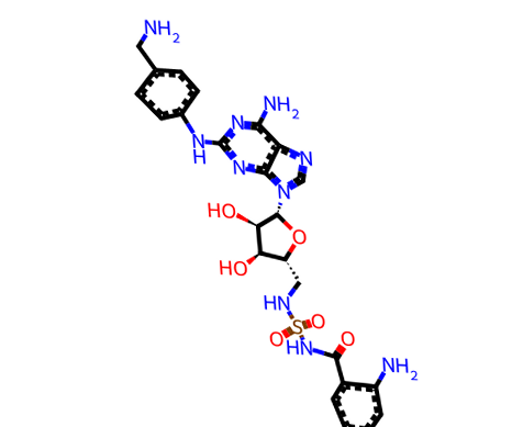 NCc1ccc(Nc2nc(N)c3ncn([C@@H]4O[C@H](CNS(=O)(=O)NC(=O)c5ccccc5N)[C@@H](O)[C@H]4O)c3n2)cc1